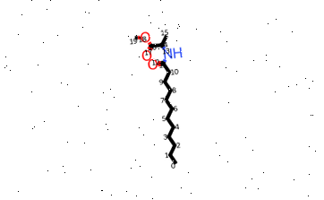 CCCCCCCCCCCC(=O)NC(C)C(=O)OC